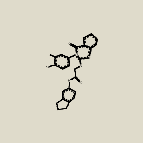 Cc1cc(-n2c(SCC(=O)Nc3ccc4c(c3)CCC4)nc3ccccc3c2=O)ccc1Cl